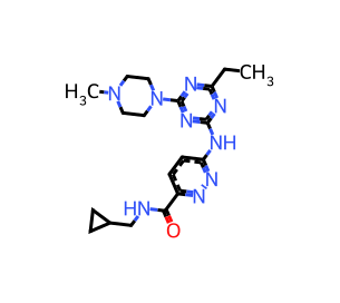 CCc1nc(Nc2ccc(C(=O)NCC3CC3)nn2)nc(N2CCN(C)CC2)n1